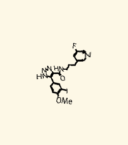 COc1ccc(-c2[nH]nnc2C(=O)NCCCc2cncc(F)c2)cc1I